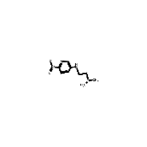 CN(C)CCNc1ccc([N+](=O)[O-])nc1